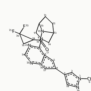 Cn1cc(-c2cc3c(N4CC5CCC(C4)N5C(=O)C4CC4(F)F)ncnn3c2)cn1